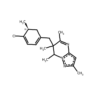 CC1=Nc2cc(C)nn2C(C)C1(C)CC1=CC=C(Cl)[C@@H](C)C1